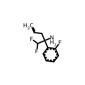 C=CCC(N)(c1ccccc1F)C(F)F